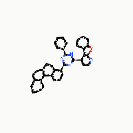 c1ccc(-c2nc(-c3cccc4c3ccc3ccc5ccccc5c34)nc(-c3ccnc4oc5ccccc5c34)n2)cc1